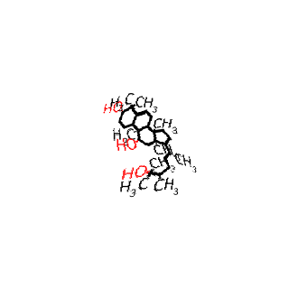 C[C@H](CC[C@@H](C)C(C)(C)O)C1CC[C@@]2(C)C3CC=C4C(CC[C@H](O)C4(C)C)[C@]3(C)[C@H](O)C[C@]12C